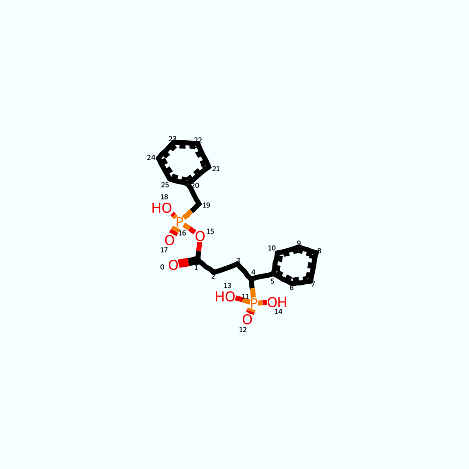 O=C(CCC(c1ccccc1)P(=O)(O)O)OP(=O)(O)Cc1ccccc1